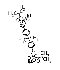 C=C(C)C(=O)OC(COc1ccc(C(C)(C)c2ccc(OCC(OCC)(OCC)OC(=O)C(=C)C)cc2)cc1)(OCC)OCC